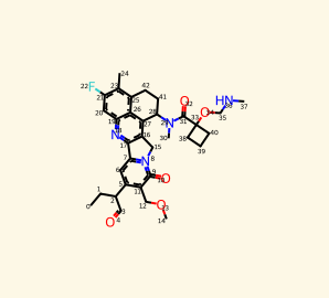 CCC(C=O)c1cc2n(c(=O)c1COC)Cc1c-2nc2cc(F)c(C)c3c2c1C(N(C)C(=O)C1(OCNC)CCC1)CC3